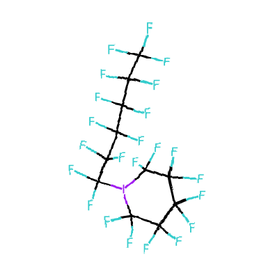 FC(F)(F)C(F)(F)C(F)(F)C(F)(F)C(F)(F)C(F)(F)I1C(F)(F)C(F)(F)C(F)(F)C(F)(F)C1(F)F